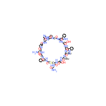 CCCC[C@H]1C(=O)N(C)[C@@H](CCCC)C(=O)N[C@@H]([C@@H](C)O)C(=O)N[C@H](C(=O)NCC(N)=O)CSCC(=O)N[C@@H](Cc2ccccc2)C(=O)N(C)[C@@H](C)C(=O)N[C@@H](CC(N)=O)C(=O)N2CCC[C@H]2C(=O)N[C@@H](Cc2cnc[nH]2)C(=O)N[C@@H](CC(C)C)C(=O)N(C)CC(=O)N[C@@H](Cc2c[nH]c3ccccc23)C(=O)N[C@@H](CCO)C(=O)N[C@@H](Cc2c[nH]c3ccccc23)C(=O)N1C